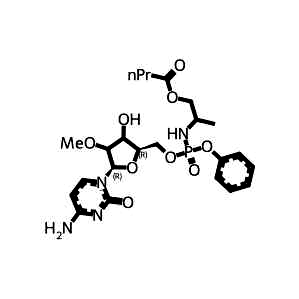 CCCC(=O)OCC(C)NP(=O)(OC[C@H]1O[C@@H](n2ccc(N)nc2=O)C(OC)C1O)Oc1ccccc1